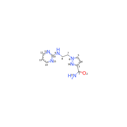 NC(=O)c1[c]cn(CCNc2ncccn2)n1